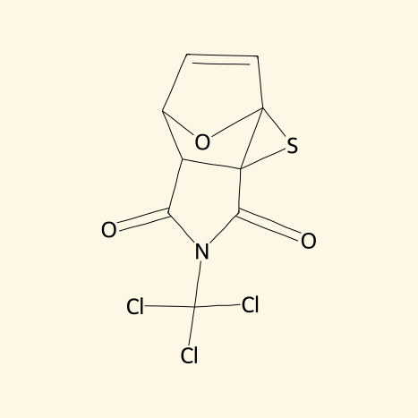 O=C1C2C3C=CC4(O3)SC24C(=O)N1C(Cl)(Cl)Cl